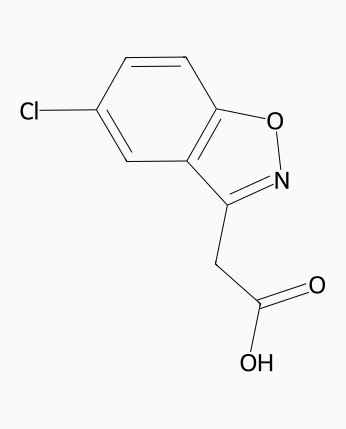 O=C(O)Cc1noc2ccc(Cl)cc12